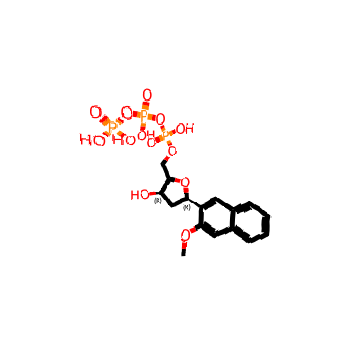 COc1cc2ccccc2cc1[C@H]1C[C@@H](O)C(COP(=O)(O)OP(=O)(O)OP(=O)(O)O)O1